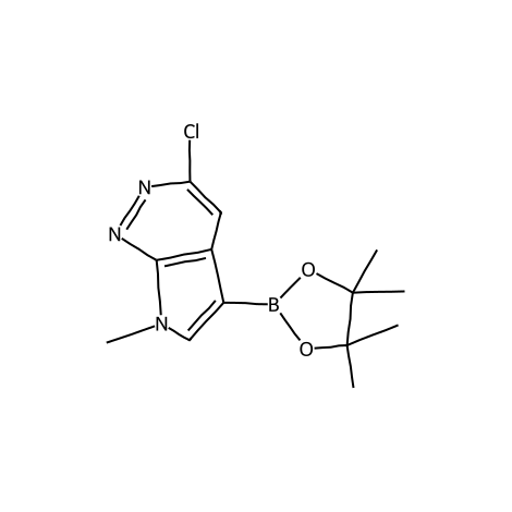 Cn1cc(B2OC(C)(C)C(C)(C)O2)c2cc(Cl)nnc21